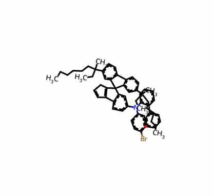 CCCCCCC(C)(CC)c1ccc2c(c1)C1(C3=C(C=CC3)c3ccc(N(c4ccc(Br)cc4)c4ccccc4-c4ccccc4)cc31)c1cc(C(C)(CC)CCCCCC)ccc1-2